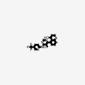 Cc1c(Nc2ccc(C(F)(F)F)cn2)ncnc1-c1cccc2nccc(O)c12